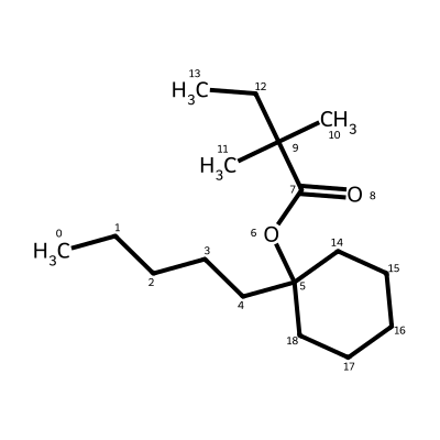 CCCCCC1(OC(=O)C(C)(C)CC)CCCCC1